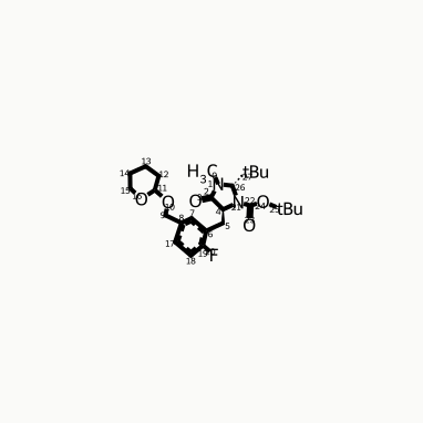 CN1C(=O)[C@H](Cc2cc(COC3CCCCO3)ccc2F)N(C(=O)OC(C)(C)C)[C@H]1C(C)(C)C